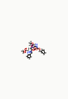 CC(C)(C)OC(=O)CC[C@H](NC(=O)[C@H](CC(=O)OC(C)(C)C)NC(=O)OCc1ccccc1)C(=O)NCc1ccccc1